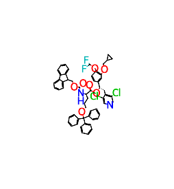 O=C(N[C@H](CCCOC(c1ccccc1)(c1ccccc1)c1ccccc1)C(=O)O[C@@H](Cc1c(Cl)cncc1Cl)c1ccc(OC(F)F)c(OCC2CC2)c1)OCC1c2ccccc2-c2ccccc21